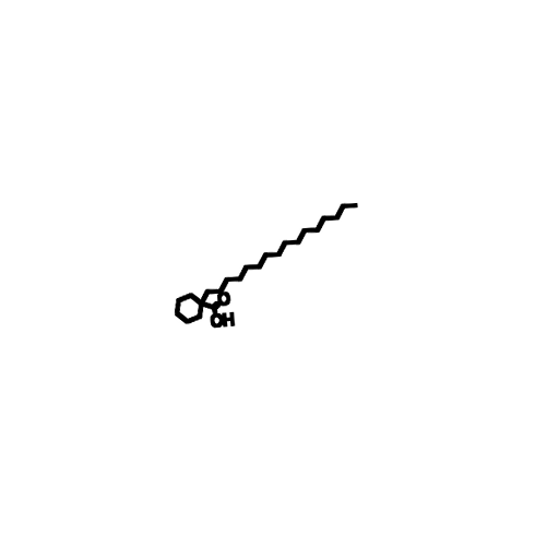 CCCCCCCCCCCCCCCCC1(C(=O)O)CCCCC1